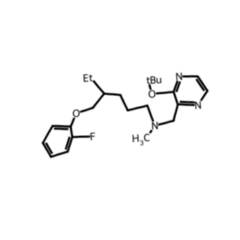 CCC(CCCN(C)Cc1nccnc1OC(C)(C)C)COc1ccccc1F